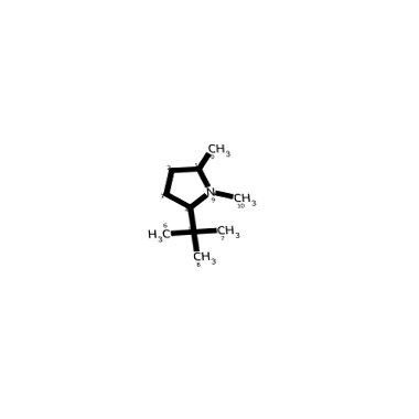 CC1CCC(C(C)(C)C)N1C